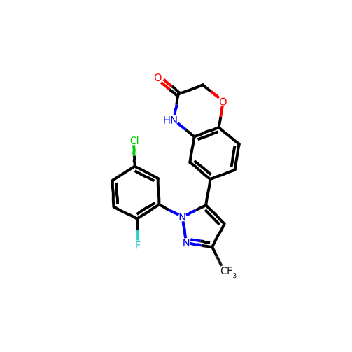 O=C1COc2ccc(-c3cc(C(F)(F)F)nn3-c3cc(Cl)ccc3F)cc2N1